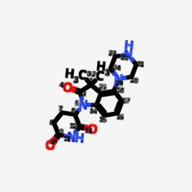 CC1(C)C(=O)N(C2CCC(=O)NC2=O)c2cccc(N3CCNCC3)c21